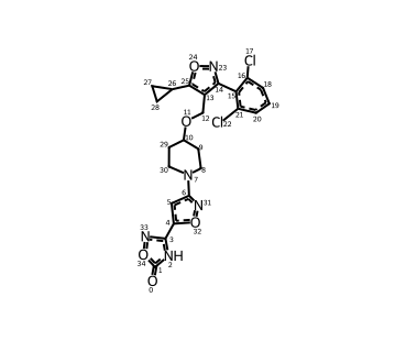 O=c1[nH]c(-c2cc(N3CCC(OCc4c(-c5c(Cl)cccc5Cl)noc4C4CC4)CC3)no2)no1